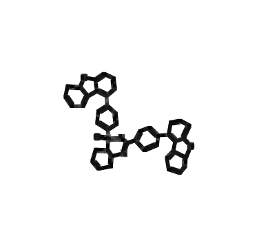 O=S1(c2ccc(-c3cccc4oc5ccccc5c34)cc2)=NC(c2ccc(-c3cccc4oc5ccccc5c34)cc2)=Nc2ccccc21